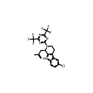 C=C(C)CC1c2[nH]c3ccc(Cl)cc3c2CCN1c1nc(C(F)(F)F)nc(C(F)(F)F)n1